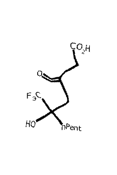 CCCCCC(O)(CC(=O)CC(=O)O)C(F)(F)F